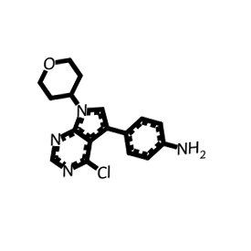 Nc1ccc(-c2cn(C3CCOCC3)c3ncnc(Cl)c23)cc1